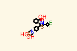 O=C(O)[C@@H]1CCCC[C@H]1c1nc(C2CC(F)(F)C2)sc1-c1ccc(N2CCS(O)(O)CC2)cc1